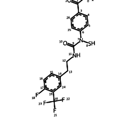 NC(=O)c1ccc(N(S)C(=O)NCCc2ccc(F)c(C(F)(F)F)c2)cc1